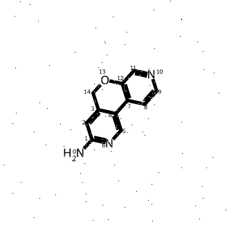 Nc1cc2c(cn1)-c1ccncc1OC2